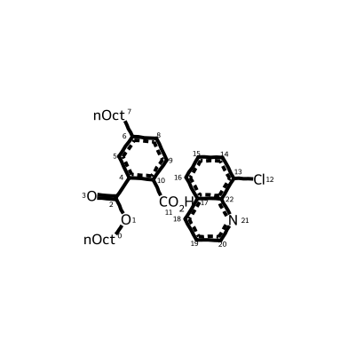 CCCCCCCCOC(=O)c1cc(CCCCCCCC)ccc1C(=O)O.Clc1cccc2cccnc12